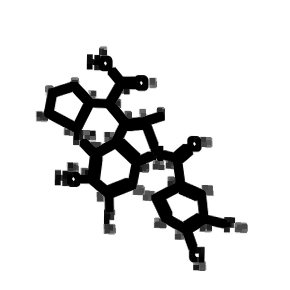 Cc1c(C(C(=O)O)C2CCCC2)c2c(F)c(O)c(F)cc2n1C(=O)c1ccc(Cl)c(F)c1